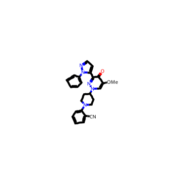 COc1cn(C2CCN(c3ccccc3C#N)CC2)nc(-c2ccnn2-c2ccccc2)c1=O